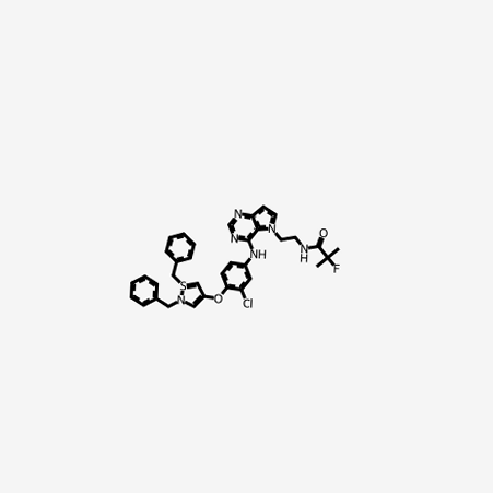 CC(C)(F)C(=O)NCCn1ccc2ncnc(Nc3ccc(OC4=CN(Cc5ccccc5)S(Cc5ccccc5)=C4)c(Cl)c3)c21